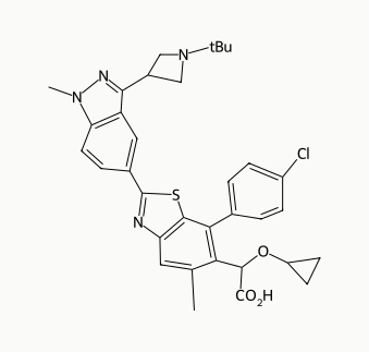 Cc1cc2nc(-c3ccc4c(c3)c(C3CN(C(C)(C)C)C3)nn4C)sc2c(-c2ccc(Cl)cc2)c1C(OC1CC1)C(=O)O